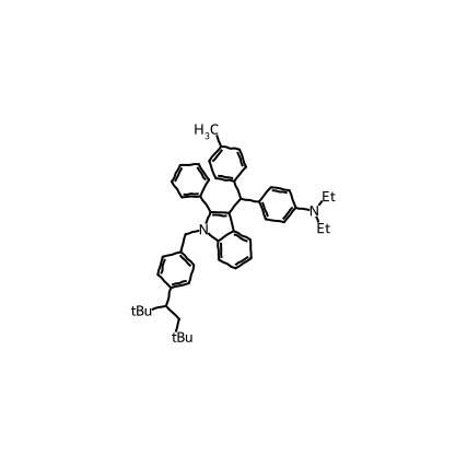 CCN(CC)c1ccc(C(c2ccc(C)cc2)c2c(-c3ccccc3)n(Cc3ccc(C(CC(C)(C)C)C(C)(C)C)cc3)c3ccccc23)cc1